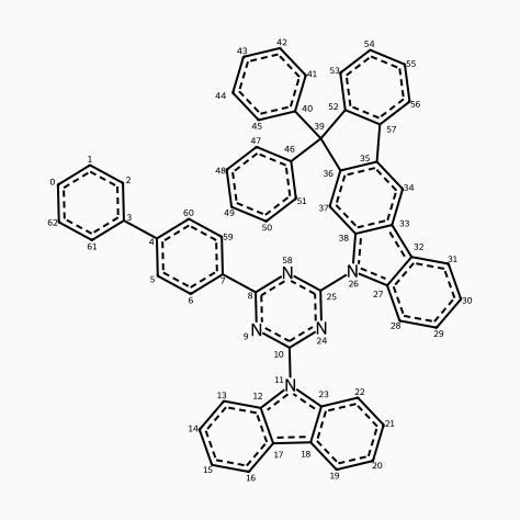 c1ccc(-c2ccc(-c3nc(-n4c5ccccc5c5ccccc54)nc(-n4c5ccccc5c5cc6c(cc54)C(c4ccccc4)(c4ccccc4)c4ccccc4-6)n3)cc2)cc1